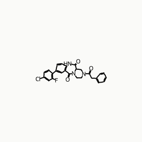 O=C1Nc2ccc(-c3ccc(Cl)cc3F)cc2C(=O)N2CCN(C(=O)Cc3ccccc3)CC12